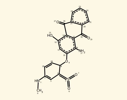 CNC1=CC(=S(=O)=O)C(Oc2cc(O)c3c(c2N)C(=O)c2ccccc2C3=O)C=C1